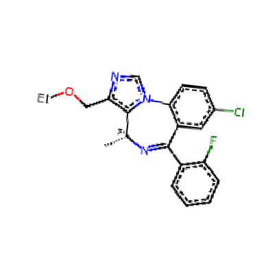 CCOCc1ncn2c1[C@@H](C)N=C(c1ccccc1F)c1cc(Cl)ccc1-2